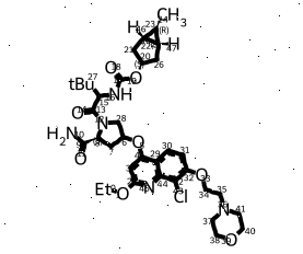 CCOc1cc(OC2C[C@@H](C(N)=O)N(C(=O)C(NC(=O)O[C@@H]3C[C@@H]4[C@H](C)[C@@H]4C3)C(C)(C)C)C2)c2ccc(OCCN3CCOCC3)c(Cl)c2n1